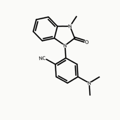 CN(C)c1ccc(C#N)c(-n2c(=O)n(C)c3ccccc32)c1